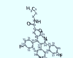 CCCNC(=O)c1cc2c(-c3ccc(F)cc3)c(-c3ccncc3)c(-c3ccc(F)cc3)nc2o1